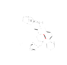 CN1C2CCC1CC(N[C@H](Cc1ccc(Cl)cc1)C(=O)N1CCC(Cn3cncn3)(C3CCCCC3)CC1)C2.Cl